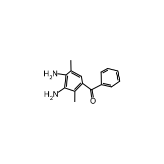 Cc1cc(C(=O)c2ccccc2)c(C)c(N)c1N